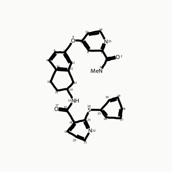 CNC(=O)c1cc(Oc2ccc3c(c2)CC(NC(=O)c2cccnc2Sc2ccccc2)CC3)ccn1